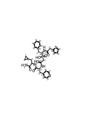 NC(=O)C(CC1CC1)NC(=O)[C@H](Cc1ccncc1)NC(=O)CP(=O)(O)[C@@H](Cc1ccccc1)NC(=O)Cc1cccs1